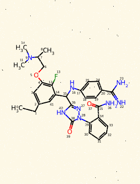 CCc1cc(OCC(C)N(C)C)c(F)c(C(Nc2ccc(C(=N)N)cc2)c2nn(-c3ccccc3C(N)=O)c(=O)[nH]2)c1